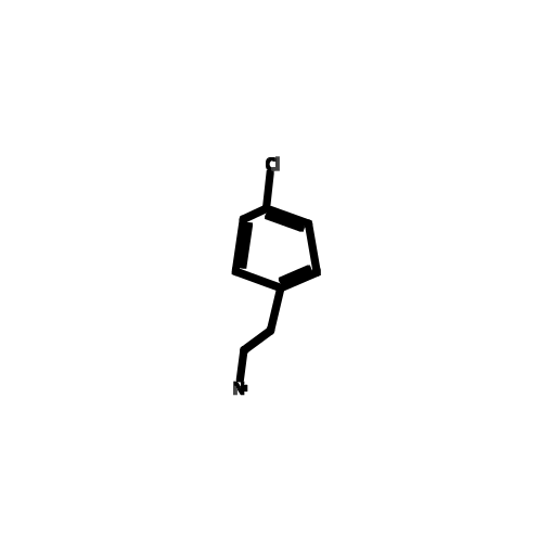 [N]CCc1ccc(Cl)cc1